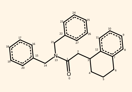 O=C(CC1CCCc2ccccc21)N(Cc1ccccc1)Cc1ccccc1